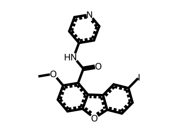 COc1ccc2oc3ccc(I)cc3c2c1C(=O)Nc1ccncc1